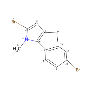 Cn1c(Br)cc2c1-c1ccc(Br)cc1C2